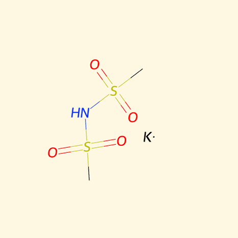 CS(=O)(=O)NS(C)(=O)=O.[K]